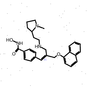 CN1CCCC1CCNC/C(=C\c1ccc(C(=O)NO)cc1)COc1cccc2ccccc12